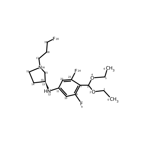 CCOC(OCC)c1c(F)cc(N[C@H]2CCN(CCCF)C2)cc1F